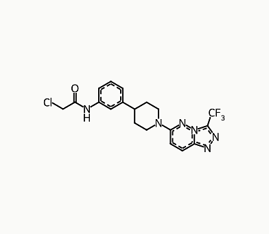 O=C(CCl)Nc1cccc(C2CCN(c3ccc4nnc(C(F)(F)F)n4n3)CC2)c1